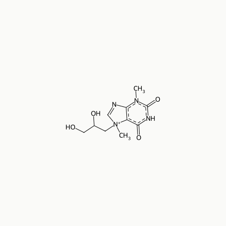 Cn1c2c(c(=O)[nH]c1=O)[N+](C)(CC(O)CO)C=N2